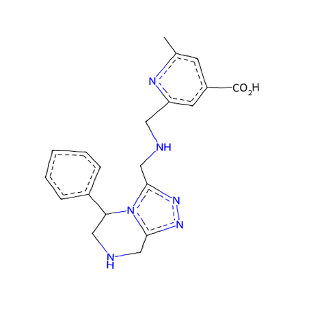 Cc1cc(C(=O)O)cc(CNCc2nnc3n2C(c2ccccc2)CNC3)n1